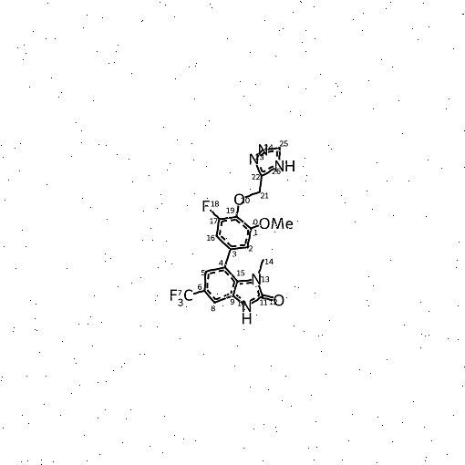 COc1cc(-c2cc(C(F)(F)F)cc3[nH]c(=O)n(C)c23)cc(F)c1OCc1nnc[nH]1